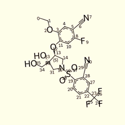 CCOc1cc(C#N)c(F)cc1O[C@H]1CN(S(=O)(=O)c2ccc(C(F)(F)F)cc2C#N)C[C@@]1(O)CO